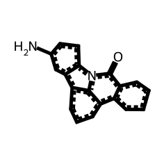 Nc1ccc2c(c1)c1cccc3c4ccccc4c(=O)n2c31